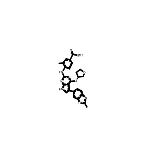 CNC(=O)c1ccc(Nc2nc(O[C@H]3CCOC3)c3c(-c4ccc5nc(C)oc5c4)c[nH]c3n2)c(C)c1